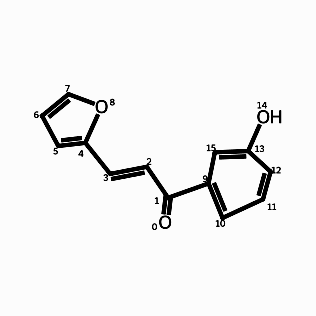 O=C(/C=C/c1ccco1)c1cccc(O)c1